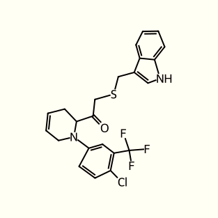 O=C(CSCc1c[nH]c2ccccc12)C1CC=CCN1c1ccc(Cl)c(C(F)(F)F)c1